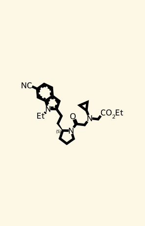 CCOC(=O)CN(CC(=O)N1CCC[C@H]1CCc1cc2ccc(C#N)cc2n1CC)C1CC1